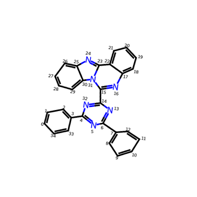 c1ccc(-c2nc(-c3ccccc3)nc(-c3nc4ccccc4c4nc5ccccc5n34)n2)cc1